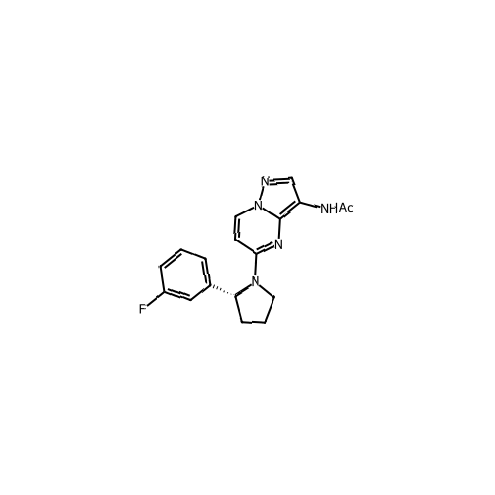 CC(=O)Nc1cnn2ccc(N3CCC[C@@H]3c3cccc(F)c3)nc12